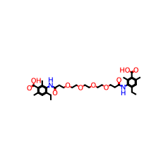 CCc1cc(C)c(C(=O)O)c(C)c1NC(=O)CCOCCOCCOCCOCCC(=O)Nc1c(CC)cc(C)c(C(=O)O)c1C